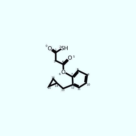 O=C(S)CC(=O)Oc1ccccc1CC1CC1